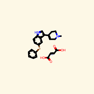 CN1CC=C(c2c[nH]c3ccc(Sc4ccccc4)cc23)CC1.O=C(O)/C=C/C(=O)O